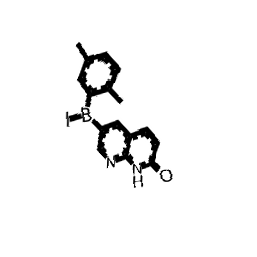 Cc1ccc(C)c(B(I)c2cnc3[nH]c(=O)ccc3c2)c1